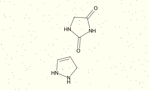 C1=CNNC1.O=C1CNC(=O)N1